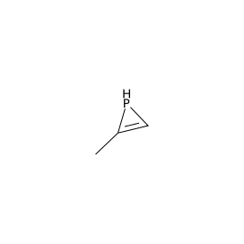 CC1=CP1